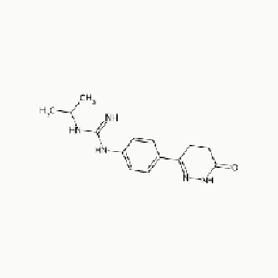 CC(C)NC(=N)Nc1ccc(C2=NNC(=O)CC2)cc1